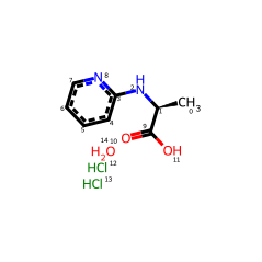 C[C@H](Nc1ccccn1)C(=O)O.Cl.Cl.O